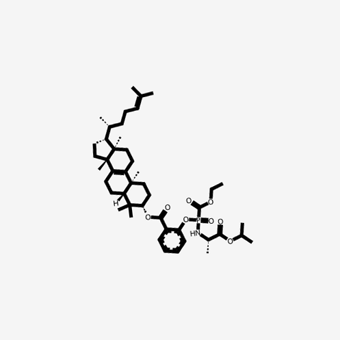 CCOC(=O)P(=O)(N[C@@H](C)C(=O)OC(C)C)Oc1ccccc1C(=O)O[C@H]1CC[C@]2(C)C3=C(CC[C@H]2C1(C)C)[C@]1(C)CC[C@H]([C@H](C)CCC=C(C)C)[C@@]1(C)CC3